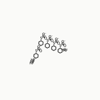 F.F.F.F.F.O=[N+]([O-])Sc1ccccc1.O=[N+]([O-])Sc1ccccc1.O=[N+]([O-])Sc1ccccc1.O=[N+]([O-])Sc1ccccc1.O=[N+]([O-])Sc1ccccc1